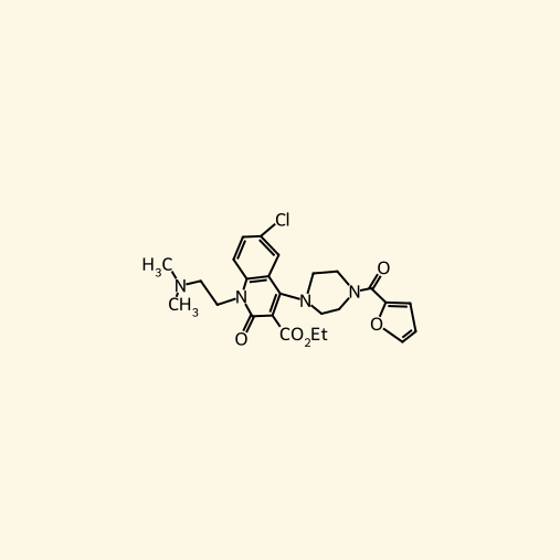 CCOC(=O)c1c(N2CCN(C(=O)c3ccco3)CC2)c2cc(Cl)ccc2n(CCN(C)C)c1=O